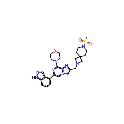 CS(=O)(=O)N1CCC2(CC1)CN(Cc1cn3cc(-c4cccc5[nH]ncc45)nc(N4CCOCC4)c3n1)C2